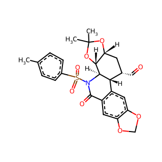 Cc1ccc(S(=O)(=O)N2C(=O)c3cc4c(cc3[C@@H]3[C@@H]2[C@@H]2OC(C)(C)O[C@@H]2C[C@@H]3C=O)OCO4)cc1